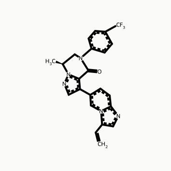 C=Cc1cnc2ccc(-c3cnn4c3C(=O)N(c3ccc(C(F)(F)F)cc3)C[C@@H]4C)cn12